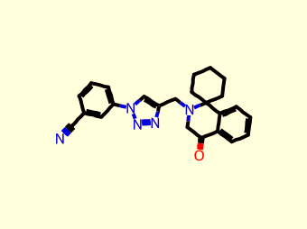 N#Cc1cccc(-n2cc(CN3CC(=O)c4ccccc4C34CCCCC4)nn2)c1